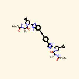 COC(=O)N[C@H](C(=O)N1CC(C2CC2)C[C@H]1c1ncc(-c2ccc(C#Cc3ccc4nc([C@@H]5CC6(CC6)CN5C(=O)[C@@H](NC(=O)OC)C(C)C)[nH]c4c3)cc2)[nH]1)C(C)C